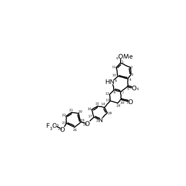 COc1ccc2c(=O)c3c([nH]c2c1)CC(c1ccc(Oc2cccc(OC(F)(F)F)c2)nc1)CC3=O